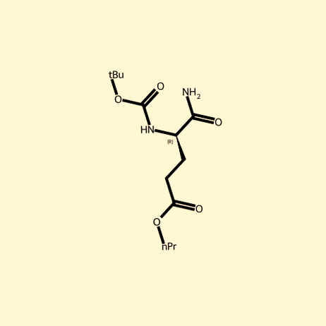 CCCOC(=O)CC[C@@H](NC(=O)OC(C)(C)C)C(N)=O